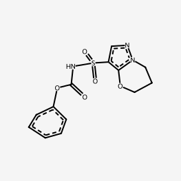 O=C(NS(=O)(=O)c1cnn2c1OCCC2)Oc1ccccc1